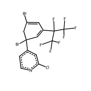 FC(F)(F)C(F)(C1=CC(Br)(c2ccnc(Cl)c2)[CH]C(Br)=C1)C(F)(F)F